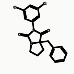 O=C1N(c2cc(Cl)cc(Cl)c2)C(=O)C2(Cc3ccccc3)CCCN12